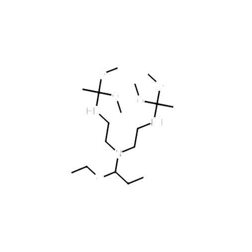 CCOC(CC)N(CCPC(C)(OC)OC)CCPC(C)(OC)OC